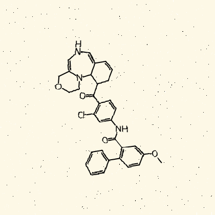 COc1ccc(-c2ccccc2)c(C(=O)Nc2ccc(C(=O)C3CC=CC4=CNC=C5COCCN5C43)c(Cl)c2)c1